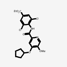 CCOC(=O)c1cc(Cl)c(NC(=O)c2cc(OC3CCCC3)c(OC)cn2)c(Cl)c1